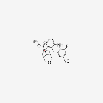 [C-]#[N+]c1ccc(Nc2nccc(OC3C4COCC3CN(C(=O)OC(C)C)C4)c2C)c(F)c1